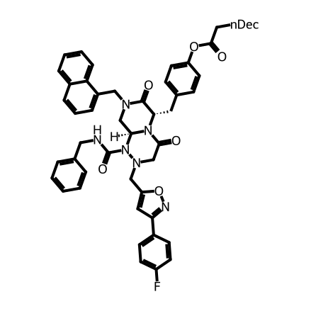 CCCCCCCCCCCC(=O)Oc1ccc(C[C@H]2C(=O)N(Cc3cccc4ccccc34)C[C@H]3N2C(=O)CN(Cc2cc(-c4ccc(F)cc4)no2)N3C(=O)NCc2ccccc2)cc1